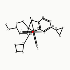 COC1CCC2(CC1)Cc1ccc(C3CC3)cc1C21NC(=S)N(C2CCC2)C1=O